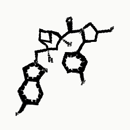 O=C([C@H]1C[C@@H](Cn2cc3cc(F)ccc3n2)C2CC1C2)N1CC(F)CC1c1cccc(F)c1